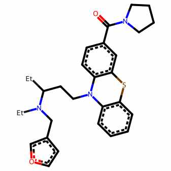 CCC(CCN1c2ccccc2Sc2cc(C(=O)N3CCCC3)ccc21)N(CC)Cc1ccoc1